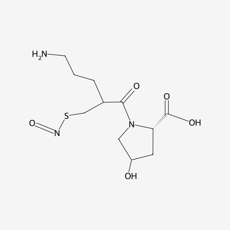 NCCCC(CSN=O)C(=O)N1CC(O)C[C@H]1C(=O)O